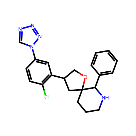 Clc1ccc(-n2cnnn2)cc1C1COC2(CCCNC2c2ccccc2)C1